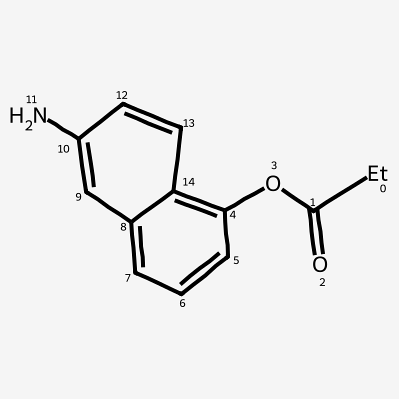 CCC(=O)Oc1cccc2cc(N)ccc12